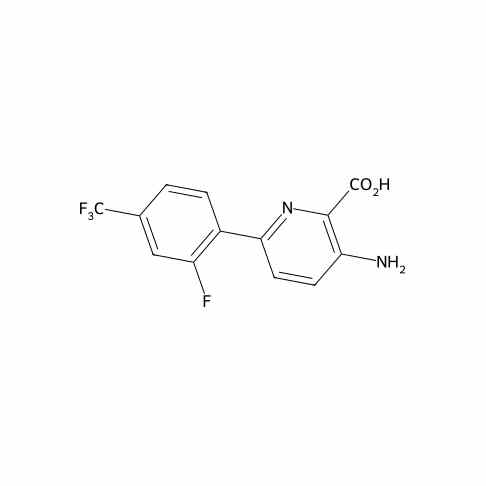 Nc1ccc(-c2ccc(C(F)(F)F)cc2F)nc1C(=O)O